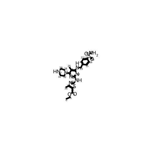 CCOC(=O)c1sc(Nc2nc(NCc3ccc(S(N)(=O)=O)cc3)c(C)c(N3CCNCC3)n2)nc1C